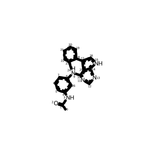 CC(=O)Nc1cccc(Nc2ncnc3[nH]cc(-c4ccccc4C)c23)c1